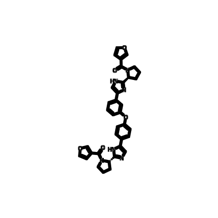 O=C(c1ccoc1)N1CCC[C@H]1c1nc(-c2cccc(Oc3ccc(-c4cnc([C@@H]5CCCN5C(=O)c5ccoc5)[nH]4)cc3)c2)c[nH]1